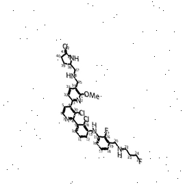 COc1nc(-c2ccnc(-c3cccc(Nc4cccc(CNCCCF)c4F)c3Cl)c2Cl)ccc1CNCC1CCC(=O)N1